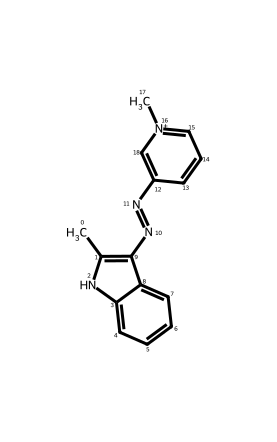 Cc1[nH]c2ccccc2c1N=Nc1ccc[n+](C)c1